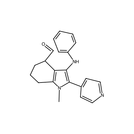 Cn1c2c(c(Nc3ccccc3)c1-c1ccncc1)C(C=O)CCC2